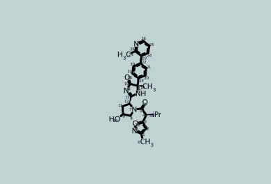 Cc1cc([C@@H](C(=O)N2CC(O)C[C@H]2C2=NC(=O)[C@](C)(c3ccc(-c4cccnc4C)cc3)N2)C(C)C)on1